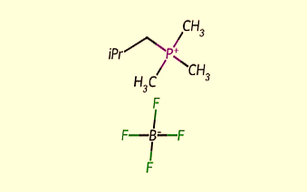 CC(C)C[P+](C)(C)C.F[B-](F)(F)F